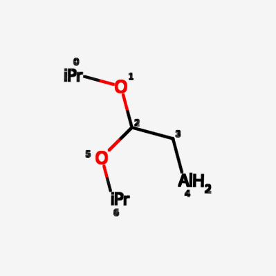 CC(C)OC([CH2][AlH2])OC(C)C